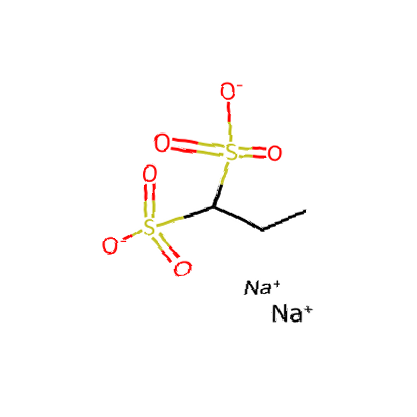 CCC(S(=O)(=O)[O-])S(=O)(=O)[O-].[Na+].[Na+]